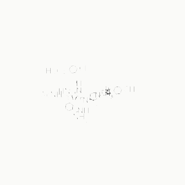 CC(=O)N[C@@H](Cc1ccc(C(=N)N)cc1)C(=O)N[C@H](C(=O)N[C@@H](Cc1ccc[n+](C)c1)C(N)=O)C1CCCCC1.Cc1ccc(S(=O)(=O)O)cc1.Cc1ccc(S(=O)(=O)[O-])cc1